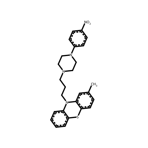 Cc1ccc2c(c1)N(CCCN1CCN(c3ccc([N+](=O)[O-])cc3)CC1)c1ccccc1S2